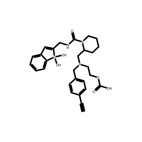 C#Cc1ccc(CN(CCOC(=O)O)CC2CCCCN2C(=O)NCC2=Cc3ccccc3S2(O)O)cc1